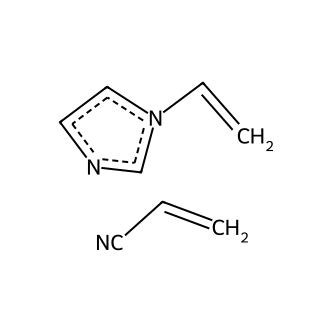 C=CC#N.C=Cn1ccnc1